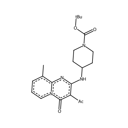 CC(=O)c1c(NC2CCN(C(=O)OC(C)(C)C)CC2)nc2c(C)cccn2c1=O